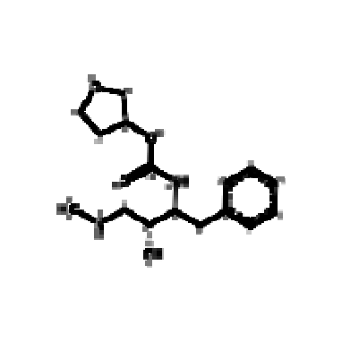 CNC[C@@H](O)C(Cc1ccccc1)NC(=O)OC1CCOC1